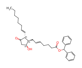 CCCCCCC=C[C@H]1C(=O)C[C@H](O)[C@@H]1CC=CCCCC(=O)OC(c1ccccc1)c1ccccc1